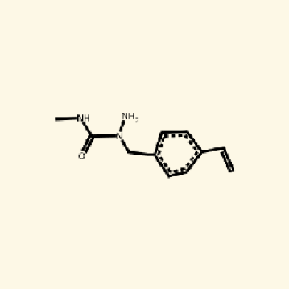 C=Cc1ccc(CN(N)C(=O)NC)cc1